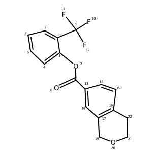 O=C(Oc1ccccc1C(F)(F)F)c1ccc2c(c1)COCC2